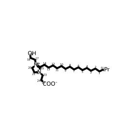 CC(C)CCCCCCCCCCCCCCC1=[N+](CCO)CCN1CCC(=O)[O-]